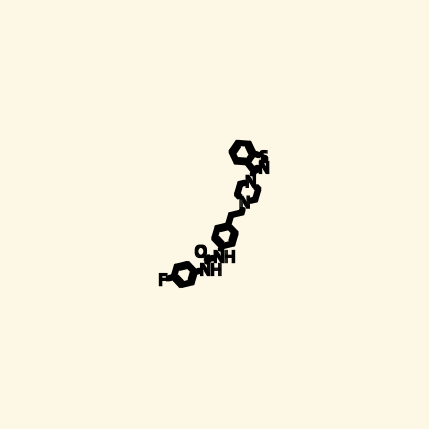 O=C(Nc1ccc(F)cc1)Nc1ccc(CCN2CCN(c3nsc4ccccc34)CC2)cc1